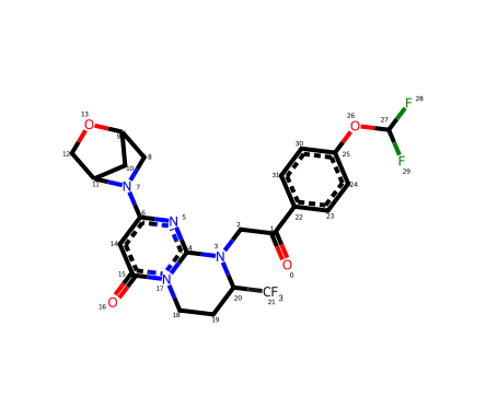 O=C(CN1c2nc(N3CC4CC3CO4)cc(=O)n2CCC1C(F)(F)F)c1ccc(OC(F)F)cc1